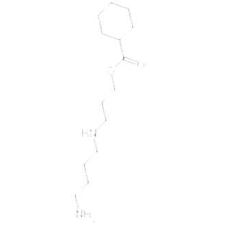 NCCCCNCCCOC(=O)C1CCCCC1